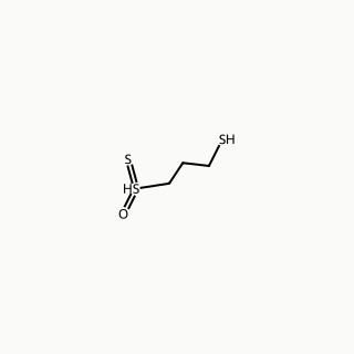 O=[SH](=S)CCCS